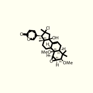 CO[C@H]1[C@H]2O[C@H]2[C@]2(OC)[C@H]3CC[C@]4(C)[C@@H](c5ccc(=O)oc5)C(C)(Cl)C[C@]4(O)C3=CC[C@H]2C1(C)C